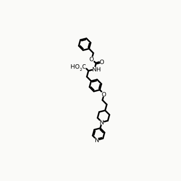 O=C(NC(Cc1ccc(OCCC2CCN(c3ccncc3)CC2)cc1)C(=O)O)OCc1ccccc1